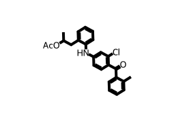 CC(=O)OC(C)Cc1ccccc1Nc1ccc(C(=O)c2ccccc2C)c(Cl)c1